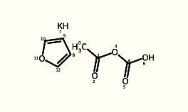 CC(=O)OC(=O)O.[KH].c1ccoc1